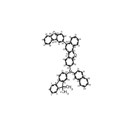 CC1(C)c2ccccc2-c2ccc(N(c3ccc4ccccc4c3)c3ccc4c(c3)oc3c5ccccc5c(-c5ccc6oc7ccccc7c6c5)cc43)cc21